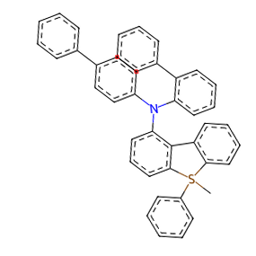 CS1(c2ccccc2)c2ccccc2-c2c(N(c3ccc(-c4ccccc4)cc3)c3ccccc3-c3ccccc3)cccc21